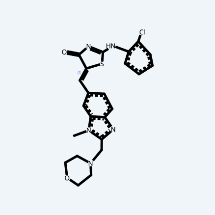 Cn1c(CN2CCOCC2)nc2ccc(/C=C3\SC(Nc4ccccc4Cl)=NC3=O)cc21